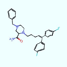 NC(=O)C1CN(Cc2ccccc2)CCN1CCCC=C(c1ccc(F)cc1)c1ccc(F)cc1